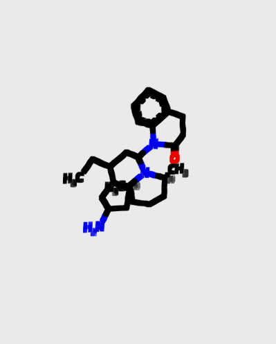 CCC(CC(N1C(=O)CCc2ccccc21)N1[C@H](C)CCC[C@@H]1C)C1CCC(N)C1